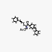 CC(=O)O/N=C(\CCC#Cc1ccccc1)C(=O)c1ccc(Sc2ccccc2)cc1